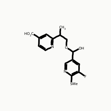 CSc1ncc(C(O)OCC(C)c2cc(C(=O)O)ccn2)cc1F